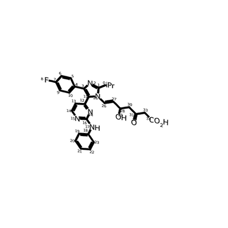 CC(C)c1nc(-c2ccc(F)cc2)c(-c2ccnc(Nc3ccccc3)n2)n1C=CC(O)CC(=O)CC(=O)O